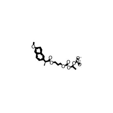 COc1ccc2cc([C@H](C)C(=O)OCCCOC(=O)OC(C)O[N+](=O)[O-])ccc2c1